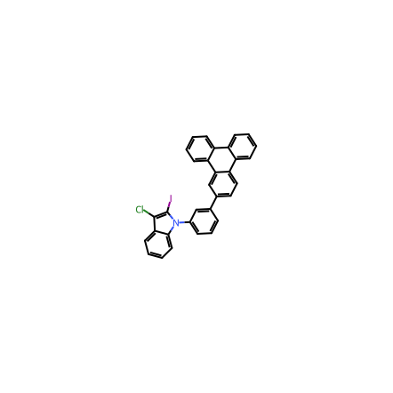 Clc1c(I)n(-c2cccc(-c3ccc4c5ccccc5c5ccccc5c4c3)c2)c2ccccc12